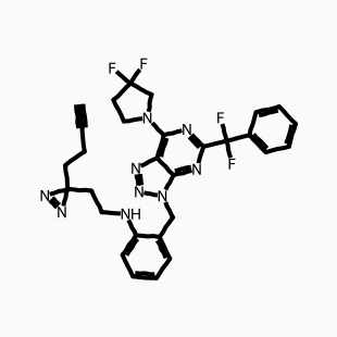 C#CCCC1(CCNc2ccccc2Cn2nnc3c(N4CCC(F)(F)C4)nc(C(F)(F)c4ccccc4)nc32)N=N1